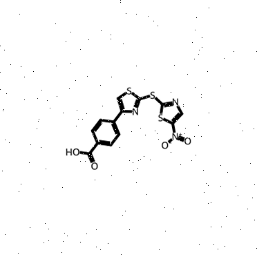 O=C(O)c1ccc(-c2csc(Sc3ncc([N+](=O)[O-])s3)n2)cc1